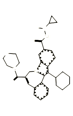 O=C(N[S+]([O-])C1CC1)c1ccc2c(C3CCCCC3)c3n(c2c1)CC(C(=O)N1CCOCC1)=Cc1ccccc1-3